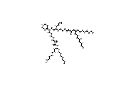 CCCCCCCCC(CCCCCCCC)CC(=O)NCCCCCN(CCN(CCO)CCCCCOC(=O)CC(CCCCCCCC)CCCCCCCC)C1CCCCC1